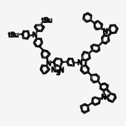 CC(C)(C)c1ccc(N(c2ccc(-c3ccc(N(c4ccccc4)c4ccc(-c5ccc(-n6c7ccc(-c8ccc(-c9ccc%10c%11ccccc%11n(-c%11ccc(-c%12ccccc%12)cc%11)c%10c9)cc8)cc7c7cc(-c8ccc(-c9ccc%10c%11ccccc%11n(-c%11ccc(-c%12ccccc%12)cc%11)c%10c9)cc8)ccc76)cc5)c5nsnc45)cc3)cc2)c2ccc(C(C)(C)C)cc2)cc1